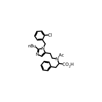 CCCCc1ncc(CCN(C(C)=O)C(Cc2ccccc2)C(=O)O)n1Cc1ccccc1Cl